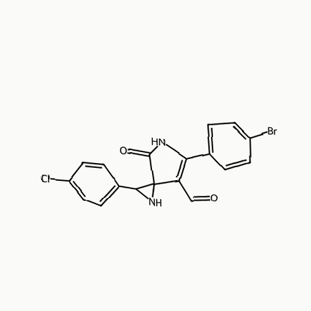 O=CC1=C(c2ccc(Br)cc2)NC(=O)C12NC2c1ccc(Cl)cc1